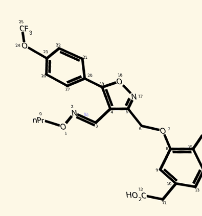 CCCO/N=C/c1c(COc2cc(CC(=O)O)ccc2C)noc1-c1ccc(OC(F)(F)F)cc1